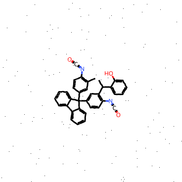 Cc1cc(C2(c3ccc(N=C=O)c(C(C)c4ccccc4O)c3)c3ccccc3-c3ccccc32)ccc1N=C=O